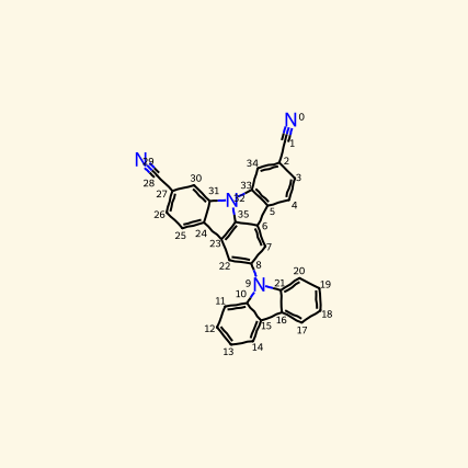 N#Cc1ccc2c3cc(-n4c5ccccc5c5ccccc54)cc4c5ccc(C#N)cc5n(c2c1)c34